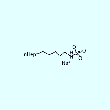 CCCCCCCCCCCCNS(=O)(=O)[O-].[Na+]